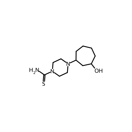 NC(=S)N1CCN(C2CCCCC(O)C2)CC1